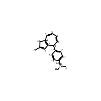 CC1=CC2=C(C=CC=CC2c2ccc(N(C)C)cc2)C1